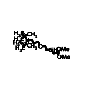 COC(C[SiH2]CCOCCCN([Si](C)(C)C)[Si](C)(C)C)OC